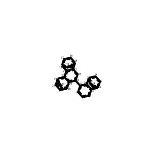 [c]1ccc2c3ccc(cc3)c2c1-c1[c]c2c3ccc(cc3)c2c2c3ccc(cc3)c12